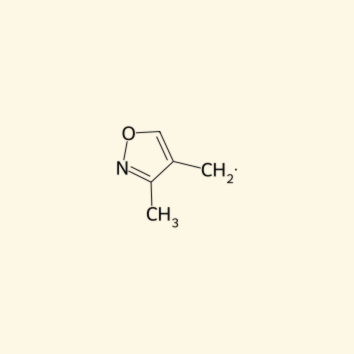 [CH2]c1conc1C